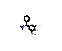 CC(C)(C)C1=CC(=C(c2ccccc2)N2CC2)C=C(C(C)(C)C)C1=O